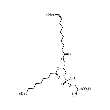 CCCCCC/C=C\CCCCCCCC(=O)OC[C@H](COP(=O)(O)OC[C@H](N)C(=O)O)OC(=O)CCCCCCCCCCCCCCCCC